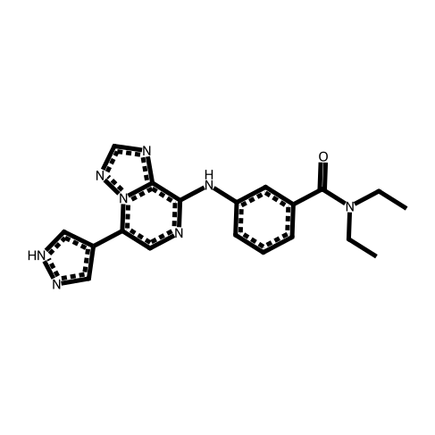 CCN(CC)C(=O)c1cccc(Nc2ncc(-c3cn[nH]c3)n3ncnc23)c1